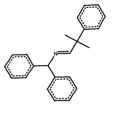 CC(C)(/C=N/C(c1ccccc1)c1ccccc1)c1ccccc1